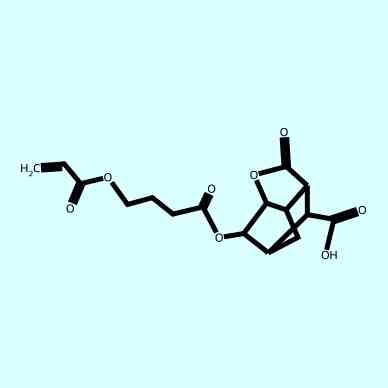 C=CC(=O)OCCCC(=O)OC1C2CC3C1OC(=O)C3C2C(=O)O